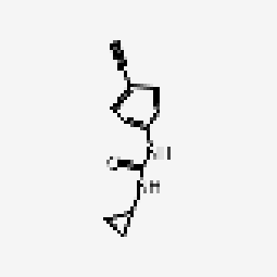 C#Cc1ccc(NC(=O)NC2CC2)cc1